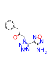 Nc1nonc1-c1nnnn1CC(=O)Cc1ccccc1